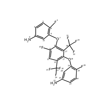 Nc1ccc(F)c(Oc2c(F)cc(C(F)(F)F)c(Oc3cc(N)ccc3F)c2C(F)(F)F)c1